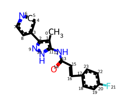 Cc1c(-c2ccncc2)n[nH]c1NC(=O)C=Cc1ccc(F)cc1